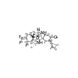 C[C@@H](NC(=O)c1cn(C23CC(C2)C3)c(=O)cc1N[C@@H]1CN2CCC1CC2)c1cccc(C(F)F)c1F